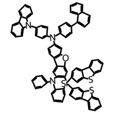 c1ccc(N2c3ccccc3[Si](c3ccc4c(c3)sc3ccccc34)(c3ccc4c(c3)sc3ccccc34)c3cc4oc5cc(N(c6ccc(-c7cccc8ccccc78)cc6)c6ccc(-n7c8ccccc8c8ccccc87)cc6)ccc5c4cc32)cc1